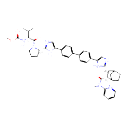 COC(=O)N[C@H](C(=O)N1CCC[C@H]1c1ncc(-c2ccc(-c3ccc(-c4cnc([C@@H]5C6CCC(C6)[C@H]5C(=O)N(C)c5ccccn5)[nH]4)cc3)cc2)[nH]1)C(C)C